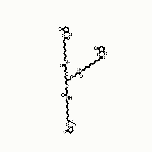 O=C(CCOCC(COCCC(=O)NCCCCCCCC(=O)ON1C(=O)CCC1=O)COCCC(=O)NCCCCCCCC(=O)ON1C(=O)CCC1=O)NCCCCCCCC(=O)OC1C(=O)CCC1=O